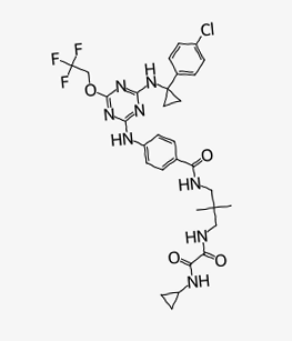 CC(C)(CNC(=O)C(=O)NC1CC1)CNC(=O)c1ccc(Nc2nc(NC3(c4ccc(Cl)cc4)CC3)nc(OCC(F)(F)F)n2)cc1